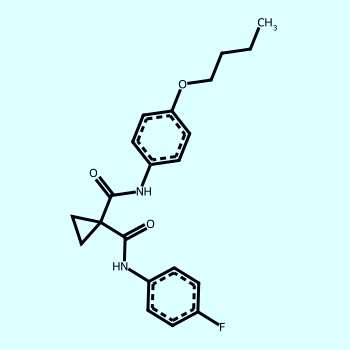 CCCCOc1ccc(NC(=O)C2(C(=O)Nc3ccc(F)cc3)CC2)cc1